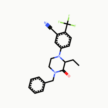 CCC1C(=O)N(Cc2ccccc2)CCN1c1ccc(C(F)(F)F)c(C#N)c1